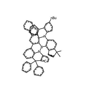 CCCCc1ccc(N2c3ccc4c(c3B3c5c(cc6c(sc7ccccc76)c52)-c2cccc5c2N3c2ccccc2C5(c2ccccc2)c2ccccc2)-c2ccccc2C4(C)C)c(-c2ccccc2)c1